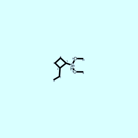 CCC1CCC1[SiH](OC)OC